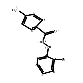 Cc1ccc(C(=O)NNc2ccccc2Br)cc1